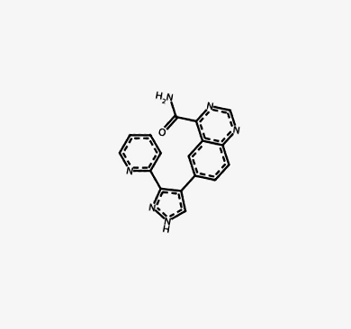 NC(=O)c1ncnc2ccc(-c3c[nH]nc3-c3ccccn3)cc12